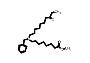 CCC(=O)CCCCCCCN(CCCCCCCC(=O)OC)Cc1ccccc1